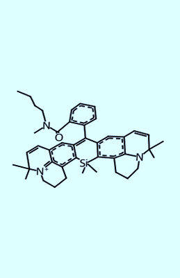 CCCCN(C)C(=O)c1ccccc1C1=c2cc3c4c(c2[Si](C)(C)c2c1cc1c5c2CCCN5C(C)(C)C=C1)CCC[N+]=4C(C)(C)C=C3